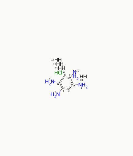 Cl.Nc1cc(N)c(N)cc1N.[HH].[HH].[HH].[HH]